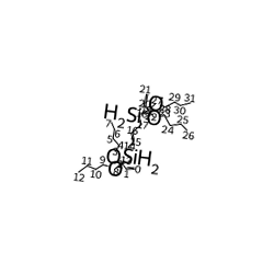 C=CC(OCCCC)(OCCCC)[SiH2]CC=CC[SiH2]C(C=C)(OCCCC)OCCCC